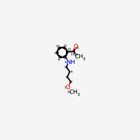 COCCCCNc1ccccc1C(C)=O